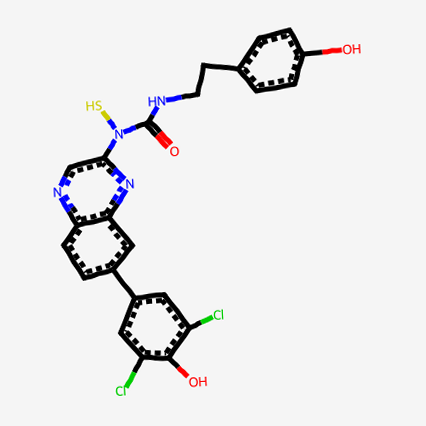 O=C(NCCc1ccc(O)cc1)N(S)c1cnc2ccc(-c3cc(Cl)c(O)c(Cl)c3)cc2n1